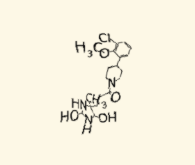 COc1c(Cl)cccc1C1CCN(C(=O)CCC2(C)NC(O)NC2O)CC1